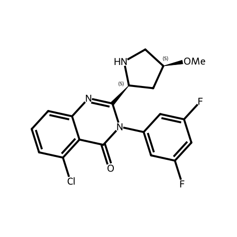 CO[C@@H]1CN[C@H](c2nc3cccc(Cl)c3c(=O)n2-c2cc(F)cc(F)c2)C1